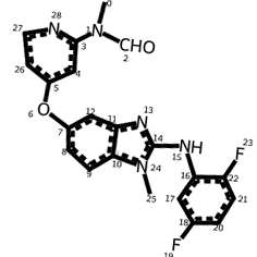 CN(C=O)c1cc(Oc2ccc3c(c2)nc(Nc2cc(F)ccc2F)n3C)ccn1